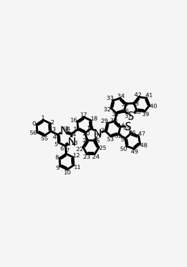 c1ccc(-c2cc(-c3ccccc3)nc(-c3cccc4c3c3ccccc3n4-c3cc(-c4cccc5c4sc4ccccc45)c4sc5ccccc5c4c3)n2)cc1